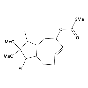 CCC1C2CC/C=C/C(OC(=O)SC)CC2C(C)C1(OC)OC